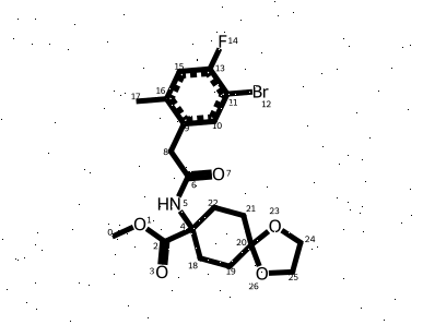 COC(=O)C1(NC(=O)Cc2cc(Br)c(F)cc2C)CCC2(CC1)OCCO2